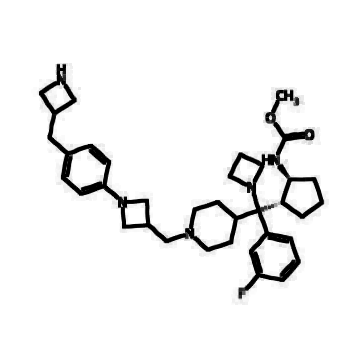 COC(=O)N[C@H]1CCC[C@@H]1C(c1cccc(F)c1)(C1CCN(CC2CN(c3ccc(CC4CNC4)cc3)C2)CC1)N1CCC1